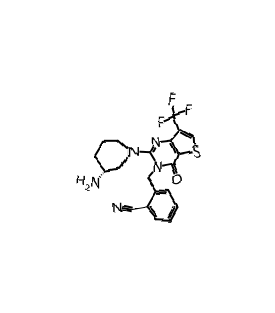 N#Cc1ccccc1Cn1c(N2CCC[C@@H](N)C2)nc2c(C(F)(F)F)csc2c1=O